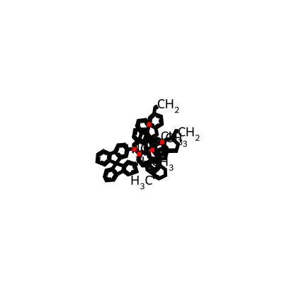 C=Cc1ccc(CC2(c3cc(C)ccc3C)c3ccccc3-c3ccc(N(c4ccccc4)c4ccc5c(c4)C4(c6ccccc6-c6ccc(N(c7ccccc7)c7ccc8c(c7)C(CC7=CCC(C=C)CC7)(c7cc(C)ccc7C)C7=C8C(C)=CCC7)cc64)c4ccccc4-5)cc32)cc1